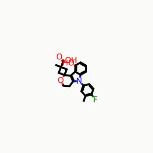 Cc1cc(-n2c3c(c4c(O)cccc42)C2(CC(C)(C(=O)O)C2)OCC3)ccc1F